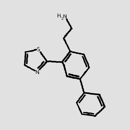 NCCc1ccc(-c2ccccc2)cc1-c1nccs1